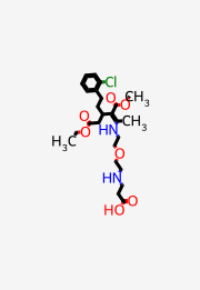 CCOC(=O)CC(CCc1ccccc1Cl)/C(C(=O)OC)=C(/C)NCCOCCNCCC(=O)O